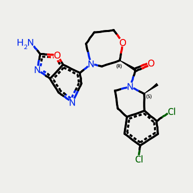 C[C@H]1c2c(Cl)cc(Cl)cc2CCN1C(=O)[C@H]1CN(c2cncc3nc(N)oc23)CCCO1